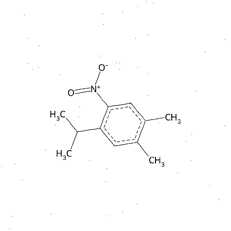 Cc1cc(C(C)C)c([N+](=O)[O-])cc1C